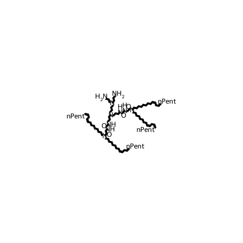 CCCCC/C=C\C/C=C\CCCCCCCCN(CCCCCCCC/C=C\C/C=C\CCCCC)C(=O)CNC(=O)NCCCN(CCCCN(CCCN)CCCN)CCCNC(=O)NCC(=O)N(CCCCCCCC/C=C\C/C=C\CCCCC)CCCCCCCC/C=C\C/C=C\CCCCC